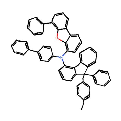 Cc1ccc(C2(c3ccccc3)c3ccccc3-c3c(N(c4ccc(-c5ccccc5)cc4)c4cccc5c4oc4c(-c6ccccc6)cccc45)cccc32)cc1